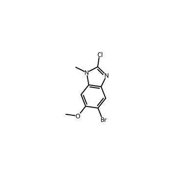 COc1cc2c(cc1Br)nc(Cl)n2C